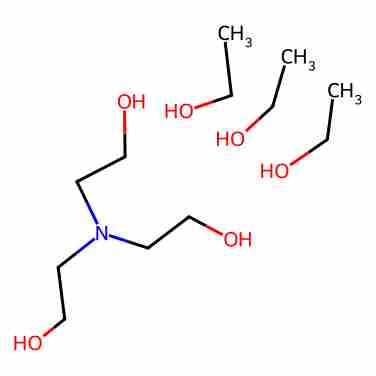 CCO.CCO.CCO.OCCN(CCO)CCO